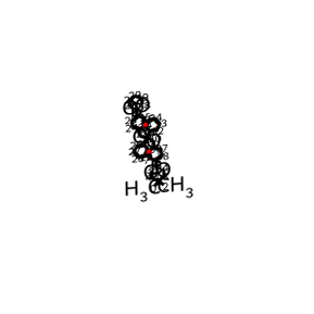 CC1(C)COB(c2ccc(OC(Oc3ccc(B4OCCCO4)cc3)(c3ccccc3)c3ccccc3)cc2)OC1